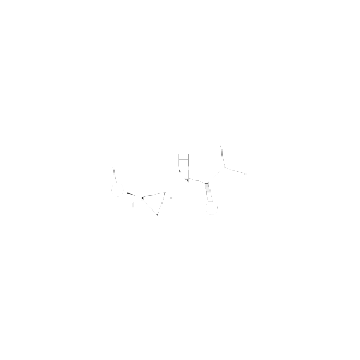 CO[C@@H]1C[C@H]1NC(=O)C(C)C